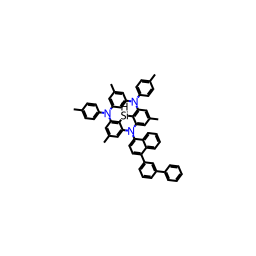 Cc1ccc(N2c3cc(C)cc4c3[SiH]3c5c2cc(C)cc5N(c2ccc(-c5cccc(-c6ccccc6)c5)c5ccccc25)c2cc(C)cc(c23)N4c2ccc(C)cc2)cc1